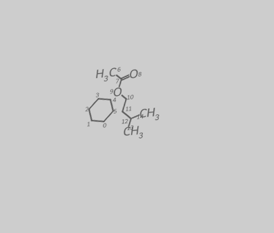 C1CCCCC1.CC(=O)OCCC(C)C